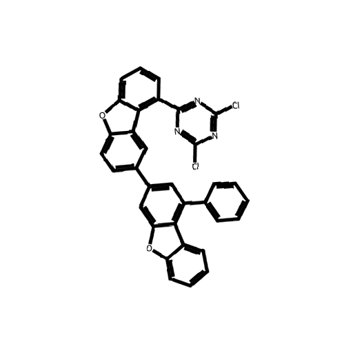 Clc1nc(Cl)nc(-c2cccc3oc4ccc(-c5cc(-c6ccccc6)c6c(c5)oc5ccccc56)cc4c23)n1